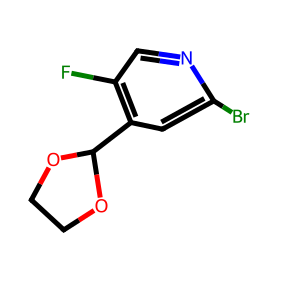 Fc1cnc(Br)cc1C1OCCO1